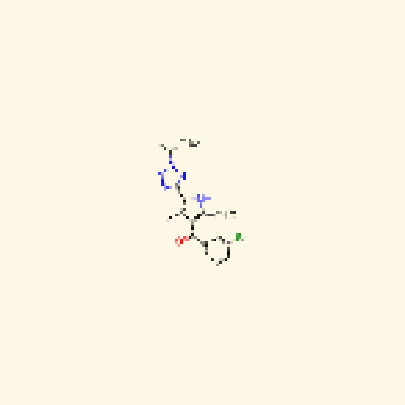 CC(=O)OC(C)n1nnc(-c2[nH]c(C=O)c(C(=O)c3cccc(Br)c3)c2C)n1